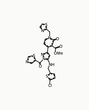 COC(=O)c1c(-c2cc(NCc3ccc(Cl)s3)n(C(=O)c3cncs3)n2)ccn(Cc2nccs2)c1=O